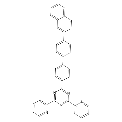 c1ccc(-c2nc(-c3ccc(-c4ccc(-c5ccc6ccccc6c5)cc4)cc3)nc(-c3ccccn3)n2)nc1